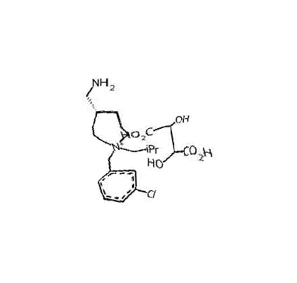 CC(C)C[N+]1(Cc2cccc(Cl)c2)CC[C@@H](CN)C1.O=C(O)C(O)C(O)C(=O)O